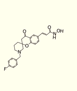 O=C(/C=C/c1ccc2c(c1)C(=O)CC1(CCCN(Cc3ccc(F)cc3)C1)O2)NO